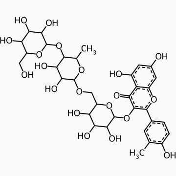 Cc1cc(-c2oc3cc(O)cc(O)c3c(=O)c2OC2OC(COC3OC(C)C(OC4OC(CO)C(O)C(O)C4O)C(O)C3O)C(O)C(O)C2O)ccc1O